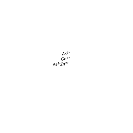 [As-3].[As-3].[Ge+4].[Zn+2]